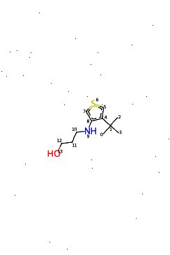 CC(C)(C)c1cscc1NCCCO